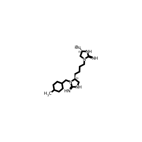 CCC(C)[C@H]1CN(CCCC[C@H]2CNC(=N)N2CC2CCC(C)CC2)C(=N)N1